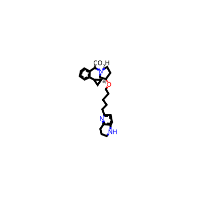 O=C(O)C(c1ccccc1C1CC1)N1CC[C@@H](OCCCCCc2ccc3c(n2)CCCN3)C1